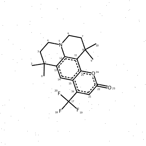 CC1(C)CCN2CCC(C)(C)c3c2c1cc1c(C(F)(F)F)cc(=O)oc31